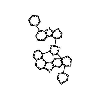 c1ccc(-c2cccc(-c3nc(-c4cccc5oc6c(-c7ccccc7)cccc6c45)nc(-c4cccc5ccc6oc7ccccc7c6c45)n3)c2)cc1